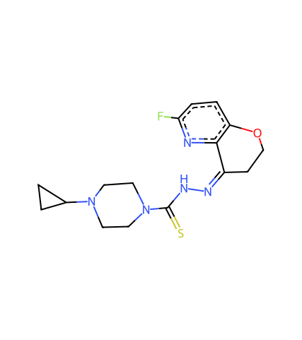 Fc1ccc2c(n1)/C(=N\NC(=S)N1CCN(C3CC3)CC1)CCO2